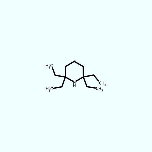 CCC1(CC)C[CH]CC(CC)(CC)N1